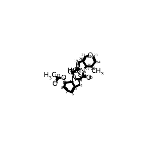 C#[SH]1S[C@@]23CC4=CC=C[C@H](OC(C)=O)C4N2C(=O)[C@@]12CC1=COC=C[C@H](C)C1N2C3=O